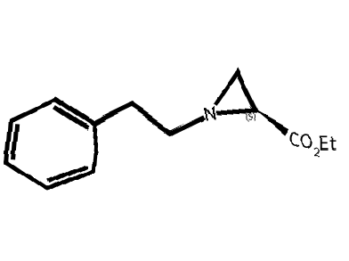 CCOC(=O)[C@@H]1CN1CCc1ccccc1